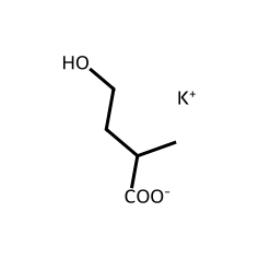 CC(CCO)C(=O)[O-].[K+]